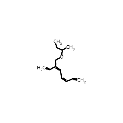 C=C/C=C\C=C(/C=C)COC(C)CC